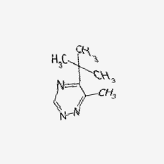 Cc1nncnc1C(C)(C)C